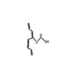 C=C/C=C\C(=C/C=C)OPO